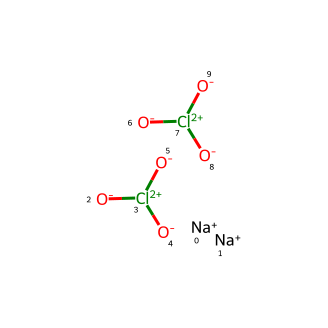 [Na+].[Na+].[O-][Cl+2]([O-])[O-].[O-][Cl+2]([O-])[O-]